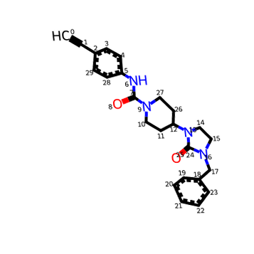 C#Cc1ccc(NC(=O)N2CCC(N3CCN(Cc4ccccc4)C3=O)CC2)cc1